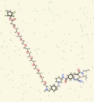 CCCN(CCC)C(=O)C1=Cc2ccc(C(=O)N[C@@H]3CCCN(Cc4ccc(CN(C)CCOCCOCCOCCOCCOCCOCCOCCOCCOCCOCCC(=O)Oc5c(F)c(F)cc(F)c5F)cc4)C3)cc2N=C(N)C1